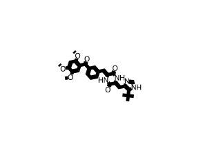 COc1cc(OC)c(C(=O)c2cccc(/C=c3\[nH]c(=O)/c(=C/c4nc[nH]c4C(C)(C)C)[nH]c3=O)c2)cc1OC